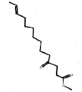 CC=CCCCCCCCC(=O)CCC(=O)OC